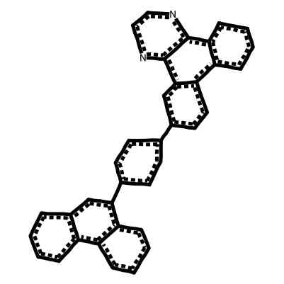 c1ccc2c(c1)cc(-c1ccc(-c3ccc4c5ccccc5c5nccnc5c4c3)cc1)c1ccccc12